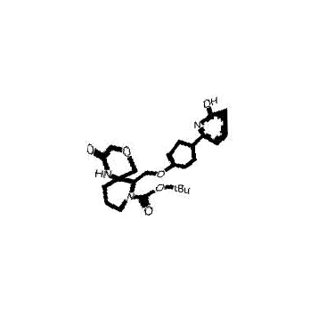 CC(C)(C)OC(=O)N1CCCC2(COCC(=O)N2)C1COC1CCC(c2cccc(O)n2)CC1